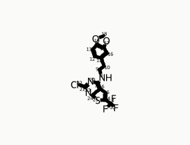 FC(F)(F)c1cc2c(NCCc3ccc4c(c3)OCO4)nc(Cl)nc2s1